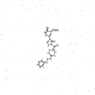 COC1C=C(C2NC(C(=O)N3CCN(CCCc4ccccc4)CC3)CS2)C=NC1=O